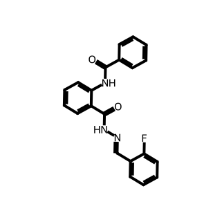 O=C(Nc1ccccc1C(=O)NN=Cc1ccccc1F)c1ccccc1